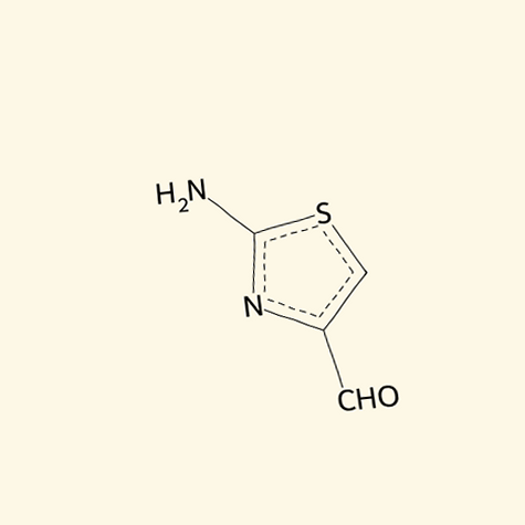 Nc1nc(C=O)cs1